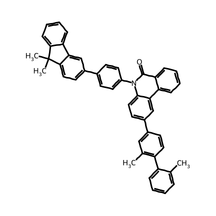 Cc1ccccc1-c1ccc(-c2ccc3c(c2)c2ccccc2c(=O)n3-c2ccc(-c3ccc4c(c3)-c3ccccc3C4(C)C)cc2)cc1C